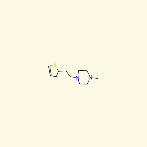 CN1CCN(CCC2CC=CS2)CC1